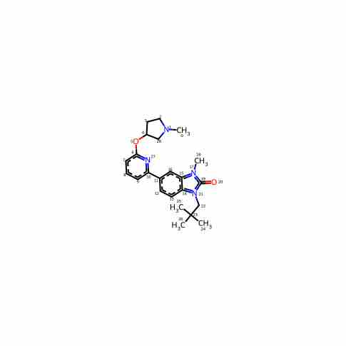 CN1CCC(Oc2cccc(-c3ccc4c(c3)n(C)c(=O)n4CC(C)(C)C)n2)C1